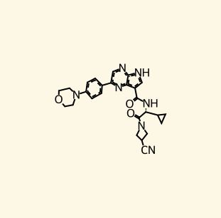 N#CC1CN(C(=O)[C@H](NC(=O)c2c[nH]c3ncc(-c4ccc(N5CCOCC5)cc4)nc23)C2CC2)C1